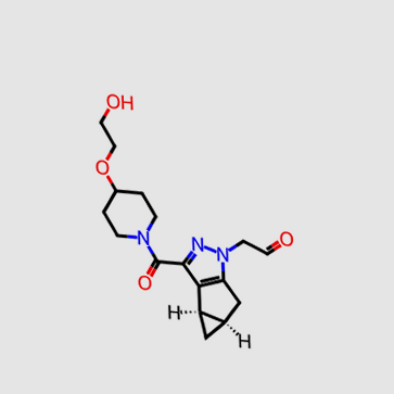 O=CCn1nc(C(=O)N2CCC(OCCO)CC2)c2c1C[C@H]1C[C@@H]21